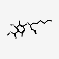 C=CCC(CCCCCC)Oc1cc(C)c(C(=O)OC)c(O)c1C